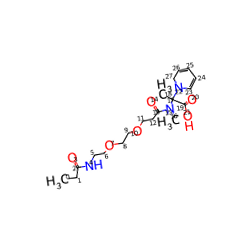 CCC(=O)NCCOCCOCCC(=O)N(C)C(C)(C(=O)O)N1C=CC=CC1